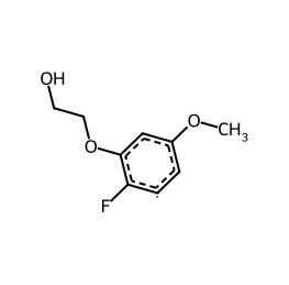 COc1c[c]c(F)c(OCCO)c1